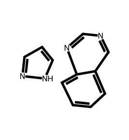 c1ccc2ncncc2c1.c1cn[nH]c1